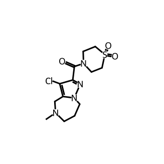 CN1CCCn2nc(C(=O)N3CCS(=O)(=O)CC3)c(Cl)c2C1